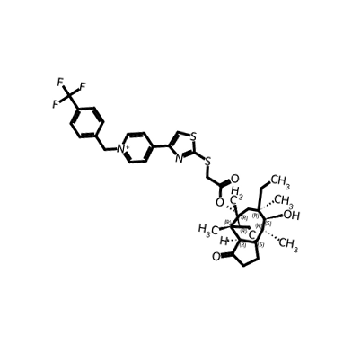 CC[C@]1(C)C[C@@H](OC(=O)CSc2nc(-c3cc[n+](Cc4ccc(C(F)(F)F)cc4)cc3)cs2)[C@]2(C)[C@H](C)CC[C@]3(CCC(=O)[C@H]32)[C@@H](C)[C@@H]1O